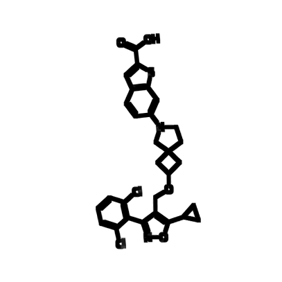 O=C(O)c1cc2ccc(N3CCC4(CC(OCc5c(-c6c(Cl)cccc6Cl)noc5C5CC5)C4)C3)cc2s1